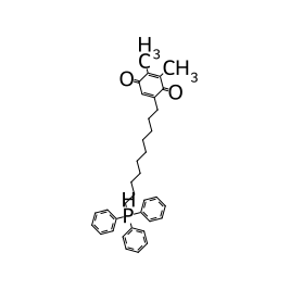 CC1=C(C)C(=O)C(CCCCCCCCCC[PH](c2ccccc2)(c2ccccc2)c2ccccc2)=CC1=O